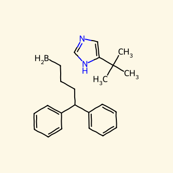 BCCCC(c1ccccc1)c1ccccc1.CC(C)(C)c1cnc[nH]1